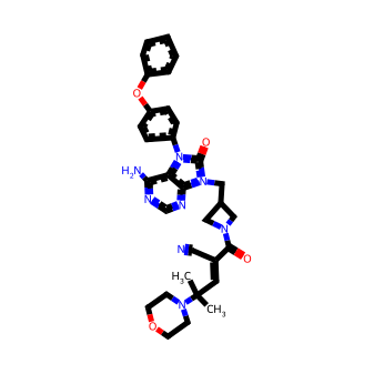 CC(C)(C=C(C#N)C(=O)N1CC(Cn2c(=O)n(-c3ccc(Oc4ccccc4)cc3)c3c(N)ncnc32)C1)N1CCOCC1